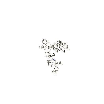 CC1(C)[C@@H]2C[C@H]3OB([C@H](Cc4ccccc4)N(CC45CCC(CC4)N5C(=O)/C(C#N)=C/C(C)(C)N4CCC(F)(F)C4)C(=O)O)O[C@@]3(C)[C@H]1C2